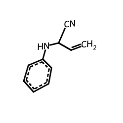 C=CC(C#N)Nc1ccccc1